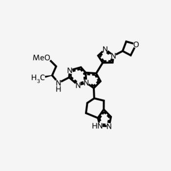 COC[C@H](C)Nc1ncc2c(-c3cnn(C4COC4)c3)cc(C3CCc4[nH]ncc4C3)n2n1